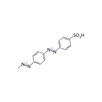 C/N=N/c1ccc(/N=N/c2ccc(S(=O)(=O)O)cc2)cc1